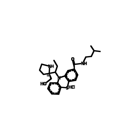 CCC(N1c2ccccc2Sc2ccc(C(=O)NCCC(C)C)cc21)[C@]1(CO)CCCN1.Cl